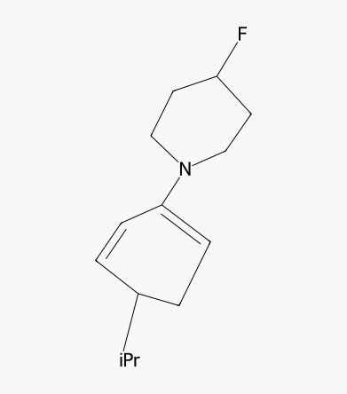 CC(C)C1C=CC(N2CCC(F)CC2)=CC1